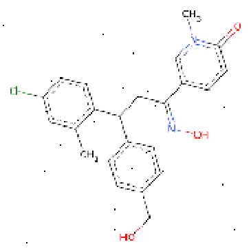 Cc1cc(Cl)ccc1C(CC(=NO)c1ccc(=O)n(C)c1)c1ccc(CO)cc1